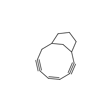 C1#CCC2CCCC(C#C/C=C\1)C2